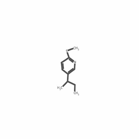 CCC(C)c1ccc(SC)nc1